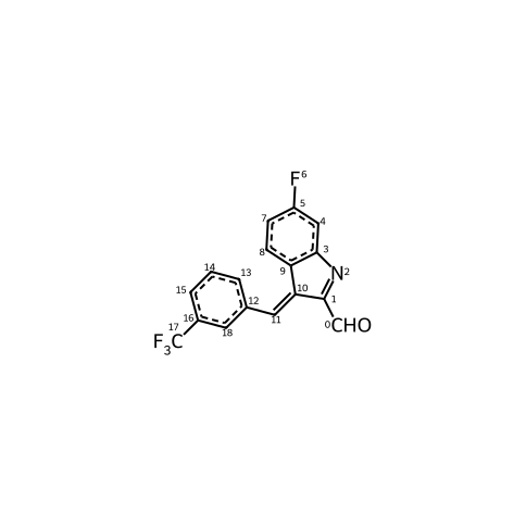 O=CC1=Nc2cc(F)ccc2C1=Cc1cccc(C(F)(F)F)c1